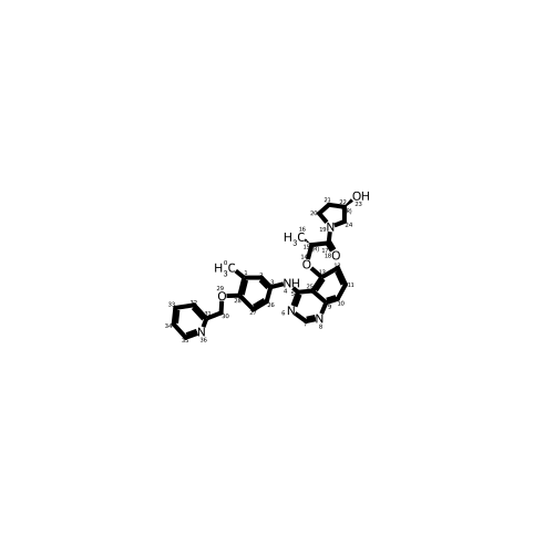 Cc1cc(Nc2ncnc3cccc(O[C@H](C)C(=O)N4CC[C@@H](O)C4)c23)ccc1OCc1ccccn1